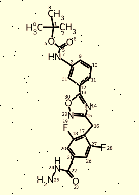 CC(C)(C)OC(=O)Nc1cccc(-c2nc(Cc3c(F)cc(C(=O)NN)cc3F)no2)c1